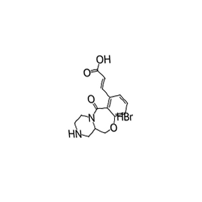 Br.O=C(O)C=Cc1cccc2c1C(=O)N1CCNCC1CO2